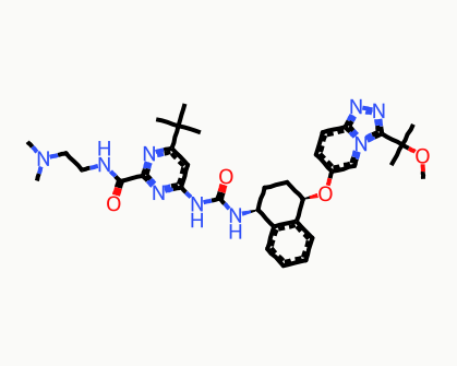 COC(C)(C)c1nnc2ccc(O[C@@H]3CC[C@H](NC(=O)Nc4cc(C(C)(C)C)nc(C(=O)NCCN(C)C)n4)c4ccccc43)cn12